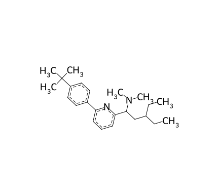 CCC(CC)CC(c1cccc(-c2ccc(C(C)(C)C)cc2)n1)N(C)C